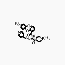 CN1CCN(C(=O)[C@@H](COCc2ccncc2)NC(=O)c2cccnc2Oc2ccc(C(F)(F)F)cc2Cl)CC1